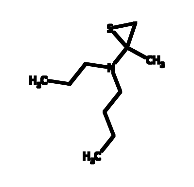 CCCCN(CCC)C1(C)CS1